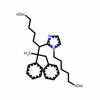 CCCCCCCCCCCCCCCn1ccnc1C(CCCCCCCCCCCCCC)C(C)(Cc1ccccc1)c1ccccc1